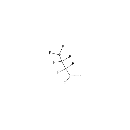 [CH2]C(F)C(F)(F)C(F)(F)[C](F)F